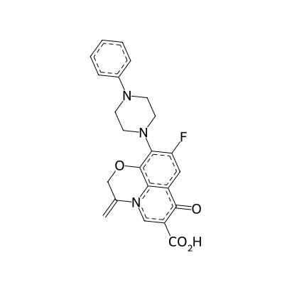 C=C1COc2c(N3CCN(c4ccccc4)CC3)c(F)cc3c(=O)c(C(=O)O)cn1c23